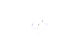 COc1ncc(Cl)c(C(N)=O)c1Br